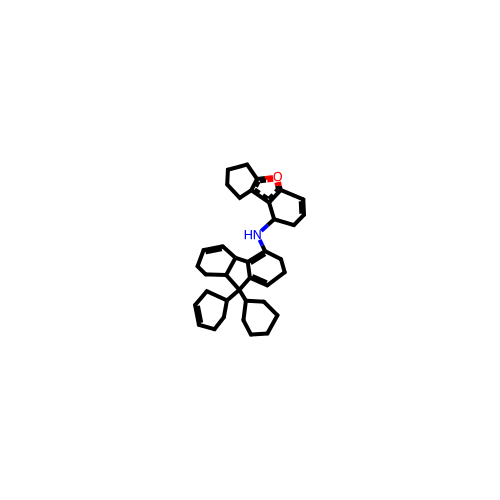 C1=CCC(C2(C3CCCCC3)C3=CCCC(NC4CC=Cc5oc6c(c54)CCCC6)=C3C3C=CCCC32)CC1